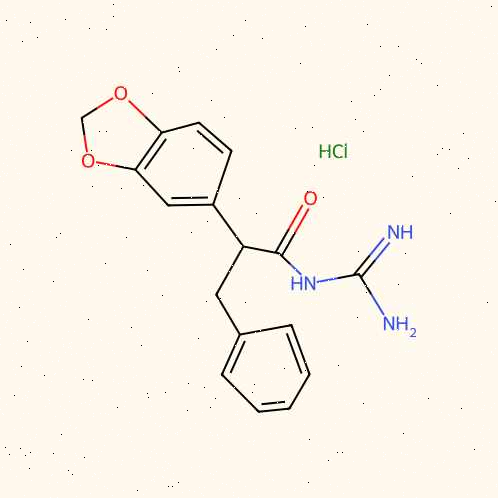 Cl.N=C(N)NC(=O)C(Cc1ccccc1)c1ccc2c(c1)OCO2